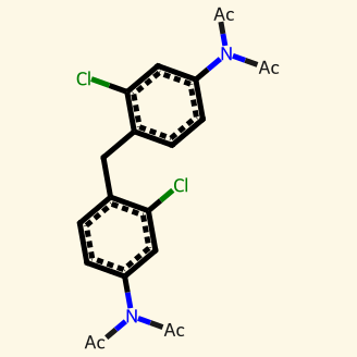 CC(=O)N(C(C)=O)c1ccc(Cc2ccc(N(C(C)=O)C(C)=O)cc2Cl)c(Cl)c1